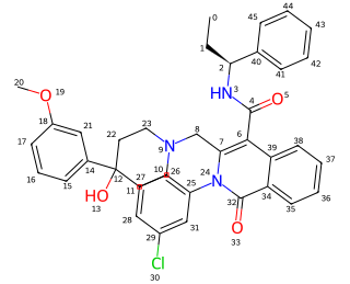 CC[C@H](NC(=O)c1c(CN2CCC(O)(c3cccc(OC)c3)CC2)n(-c2cccc(Cl)c2)c(=O)c2ccccc12)c1ccccc1